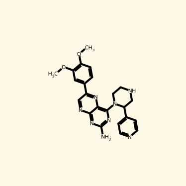 COc1ccc(-c2cnc3nc(N)nc(N4CCNCC4c4ccncc4)c3n2)cc1OC